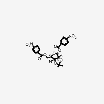 CC1(C)O[C@H]2[C@@H](OC(=O)c3ccc([N+](=O)[O-])cc3)O[C@H](COC(=O)c3ccc([N+](=O)[O-])cc3)[C@H]2O1